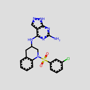 Nc1nc(NC2Cc3ccccc3N(S(=O)(=O)c3cccc(Cl)c3)C2)c2cn[nH]c2n1